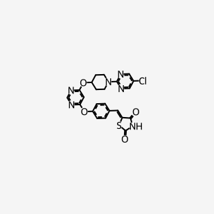 O=C1NC(=O)C(=Cc2ccc(Oc3cc(OC4CCN(c5ncc(Cl)cn5)CC4)ncn3)cc2)S1